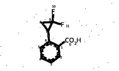 O=C(O)c1ccccc1C1CC1(F)F